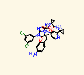 C[C@@]1(Cc2ccc(N)cc2)C(=O)N(c2cc(Cl)cc(Cl)c2)c2ncc(C(=O)NC3(C(=O)NC4(c5cc(NS(C)(=O)=O)ccn5)CC4)CC3)n21